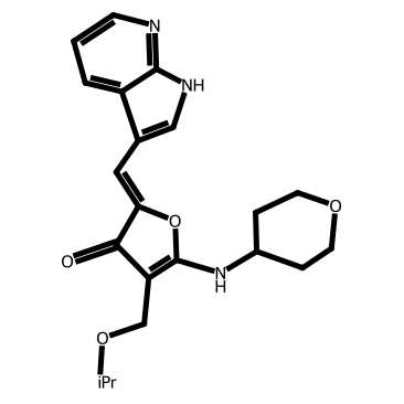 CC(C)OCC1=C(NC2CCOCC2)O/C(=C\c2c[nH]c3ncccc23)C1=O